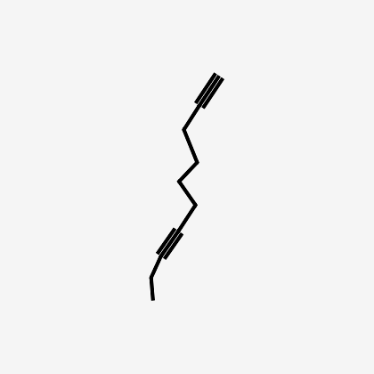 C#CCCCCC#CCC